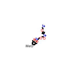 COc1cc(C)c(S(=O)(=O)N(C)CCOCC(=O)N(C)C2CC(OCCN(C)C)C2)c(C)c1